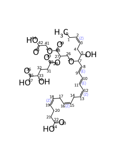 CC/C=C\CC(O)C(/C=C/C=C/C=C\C/C=C\C/C=C\CCC(=O)O)OCC(OC(=O)CCC(O)C(=O)O)C(=O)OCC(=O)O